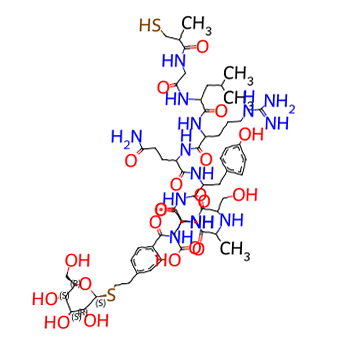 CC(C)CC(NC(=O)CNC(=O)C(C)CS)C(=O)NC(CCCNC(=N)N)C(=O)NC(CCC(N)=O)C(=O)NC(Cc1ccc(O)cc1)C(=O)NC(=O)C(CC(=O)O)NC(=O)C(CO)NC(C)C(=O)NC(C=O)NC(=O)c1ccc(CCS[C@@H]2O[C@H](CO)[C@@H](O)[C@H](O)[C@H]2O)cc1